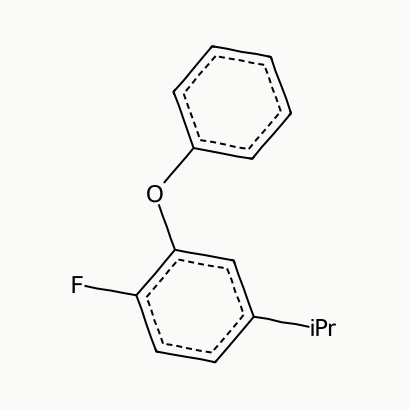 CC(C)c1ccc(F)c(Oc2ccccc2)c1